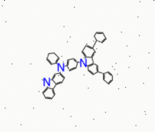 Cn1c2ccccc2c2ccc(N(C3=CCCC=C3)c3ccc(-n4c5ccc(-c6ccccc6)cc5c5cc(C6C=CC=CC6)ccc54)cc3)cc21